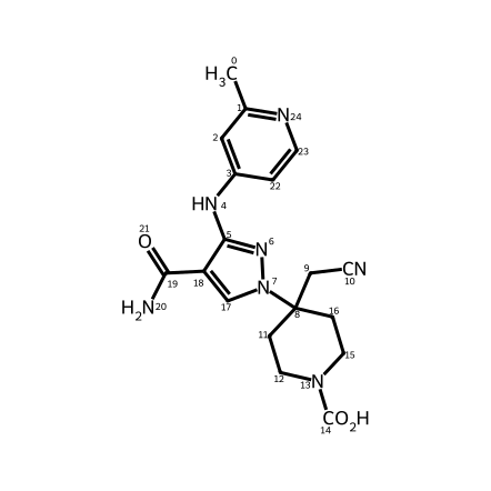 Cc1cc(Nc2nn(C3(CC#N)CCN(C(=O)O)CC3)cc2C(N)=O)ccn1